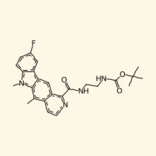 Cc1c2ccnc(C(=O)NCCNC(=O)OC(C)(C)C)c2cc2c3cc(F)ccc3n(C)c12